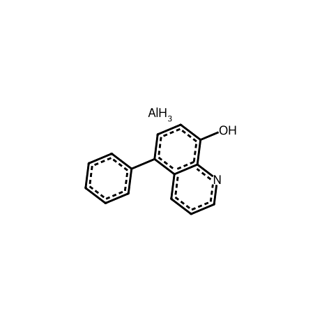 Oc1ccc(-c2ccccc2)c2cccnc12.[AlH3]